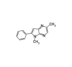 Cc1cnc2c([c]c(-c3ccccc3)n2C)n1